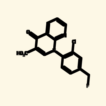 O=C(O)c1cn(-c2ccc(CF)cc2Cl)c2ncccc2c1=O